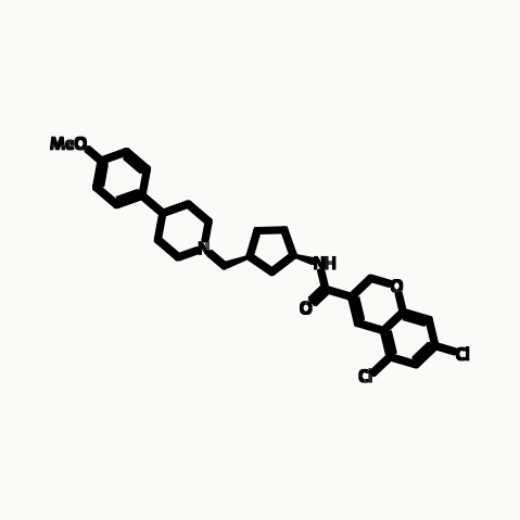 COc1ccc(C2CCN(C[C@H]3CC[C@@H](NC(=O)C4=Cc5c(Cl)cc(Cl)cc5OC4)C3)CC2)cc1